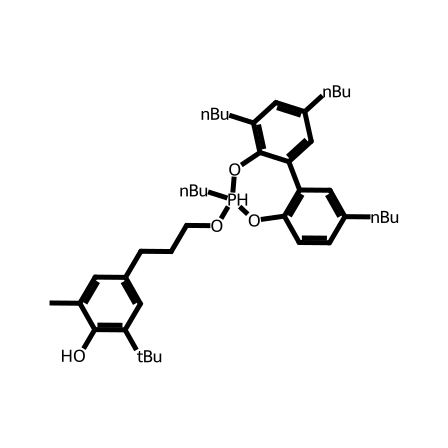 CCCCc1ccc2c(c1)-c1cc(CCCC)cc(CCCC)c1O[PH](CCCC)(OCCCc1cc(C)c(O)c(C(C)(C)C)c1)O2